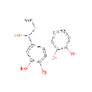 CNCC(O)c1ccc(O)c(O)c1.Oc1ccccc1O